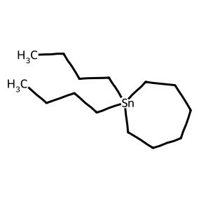 CCC[CH2][Sn]1([CH2]CCC)[CH2]CCCC[CH2]1